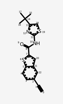 C#Cc1ccc2sc(C(=O)Nc3nc(C(C)(C)C)cs3)cc2c1